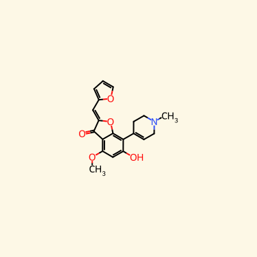 COc1cc(O)c(C2=CCN(C)CC2)c2c1C(=O)/C(=C/c1ccco1)O2